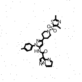 Cc1ccc(-n2nc(C3CCN(S(=O)(=O)c4sc(C)nc4C)CC3)cc2NC(=O)c2cnn3cccnc23)cc1